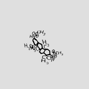 COc1cc(NS(C)(=O)=O)cc2c1C1(C)CCC3C(C)(C)C(NS(C)(=O)=O)CCC3(C)C1C2